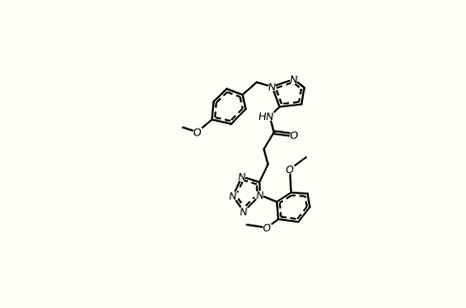 COc1ccc(Cn2nccc2NC(=O)CCc2nnnn2-c2c(OC)cccc2OC)cc1